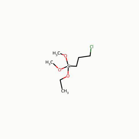 CCO[Si](CCCCl)(OC)OC